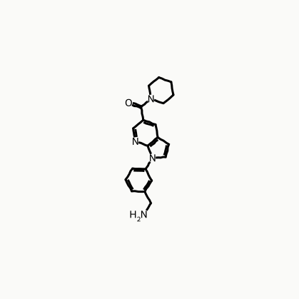 NCc1cccc(-n2ccc3cc(C(=O)N4CCCCC4)cnc32)c1